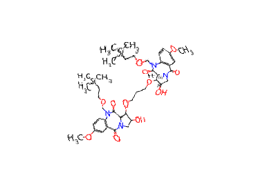 COc1ccc2c(c1)C(=O)N1CC(O)C(OCCCOC3[C@H](O)CN4C(=O)c5cc(OC)ccc5N(COCC[Si](C)(C)C)C(=O)[C@H]34)C1C(=O)N2COCC[Si](C)(C)C